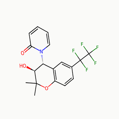 CC1(C)Oc2ccc(C(F)(F)C(F)(F)F)cc2[C@@H](n2ccccc2=O)[C@@H]1O